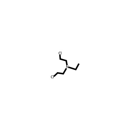 CCN(CCCl)CCCl